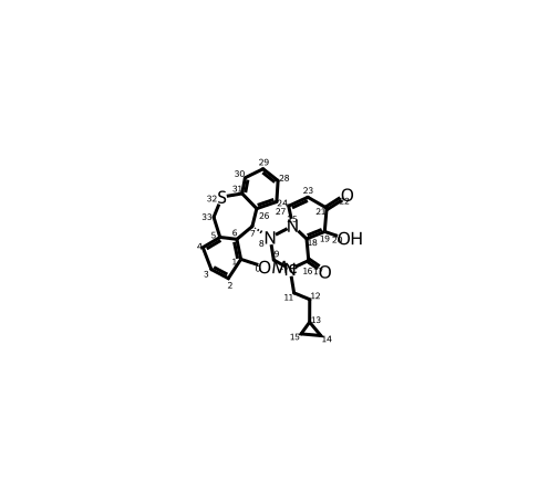 COc1cccc2c1[C@@H](N1CN(CCC3CC3)C(=O)c3c(O)c(=O)ccn31)c1ccccc1SC2